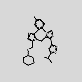 Cc1ccc2c(c1)-c1nnc(COC3CCCCC3)n1Cc1c(-c3noc(C(C)C)n3)ncn1-2